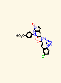 O=C(/C=C/c1cc(Cl)ccc1-n1cnnn1)N[C@@H](Cc1cc[n+]([O-])cc1)C(=O)Nc1ccc(C(=O)O)cc1